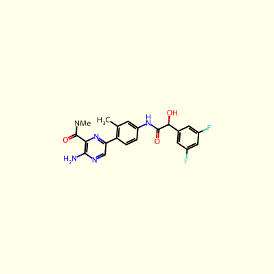 CNC(=O)c1nc(-c2ccc(NC(=O)[C@@H](O)c3cc(F)cc(F)c3)cc2C)cnc1N